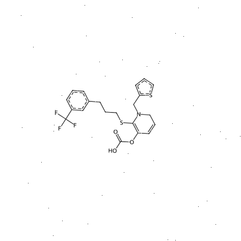 O=C(O)OC1=C(SCCCc2cccc(C(F)(F)F)c2)N(Cc2cccs2)CC=C1